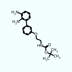 CC(C)(C)OC(=O)NCCOc1cccc(-c2cccc(N)c2N)c1